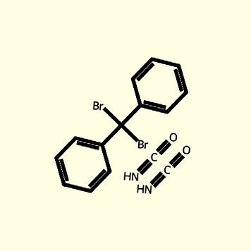 BrC(Br)(c1ccccc1)c1ccccc1.N=C=O.N=C=O